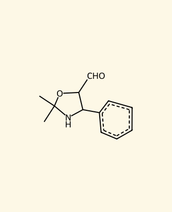 CC1(C)NC(c2ccccc2)C(C=O)O1